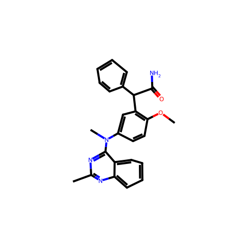 COc1ccc(N(C)c2nc(C)nc3ccccc23)cc1C(C(N)=O)c1ccccc1